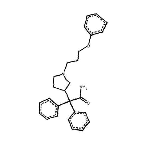 NC(=O)C(c1ccccc1)(c1ccccc1)C1CCN(CCCOc2ccccc2)C1